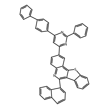 c1ccc(-c2ccc(-c3cc(-c4ccc5nc(-c6cccc7ccccc67)c6c7ccccc7sc6c5c4)nc(-c4ccccc4)n3)cc2)cc1